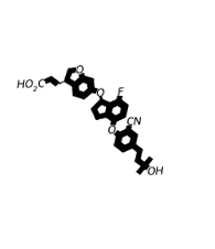 CC(C)(O)CCc1ccc(Oc2ccc(F)c3c2CC[C@H]3Oc2ccc3c(c2)OC[C@H]3CCC(=O)O)c(C#N)c1